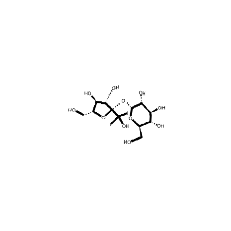 OC[C@H]1O[C@](O[C@H]2O[C@H](CO)[C@@H](O)[C@H](O)[C@H]2O)(C(O)(I)I)[C@@H](O)[C@@H]1O